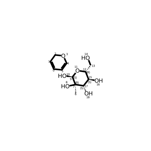 C1=CCOC=C1.C[C@]1(O)[C@@H](O)O[C@H](CO)[C@@H](O)[C@@H]1O